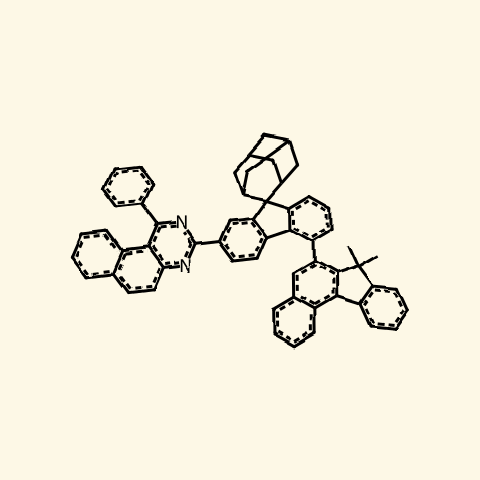 CC1(C)c2ccccc2-c2c1c(-c1cccc3c1-c1ccc(-c4nc(-c5ccccc5)c5c(ccc6ccccc65)n4)cc1C31C3CC4CC(C3)CC1C4)cc1ccccc21